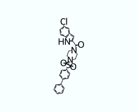 O=C(c1cc2cc(Cl)ccc2[nH]1)N1CCN(S(=O)(=O)c2ccc(-c3ccccc3)cc2)CC1